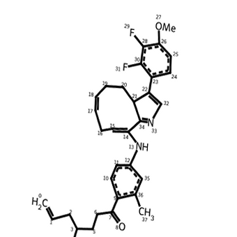 C=CCC(C)CCC(=O)c1ccc(N/C2=C\C/C=C\CCC3C(c4ccc(OC)c(F)c4F)=CN=C23)cc1C